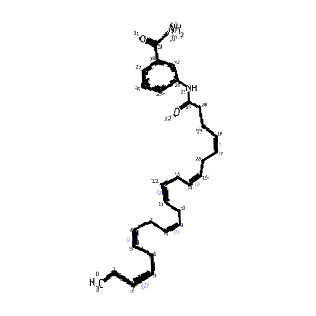 CC/C=C\C/C=C\C/C=C\C/C=C\C/C=C\C/C=C\CCC(=O)Nc1cccc(C(N)=O)c1